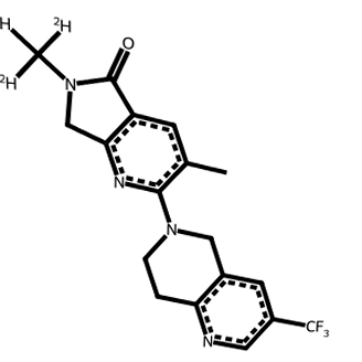 [2H]C([2H])([2H])N1Cc2nc(N3CCc4ncc(C(F)(F)F)cc4C3)c(C)cc2C1=O